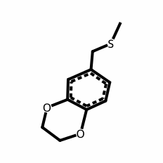 CSCc1ccc2c(c1)OCCO2